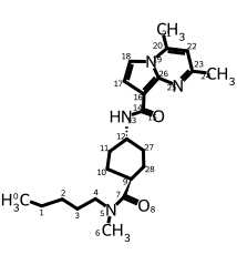 CCCCCN(C)C(=O)[C@H]1CC[C@H](NC(=O)c2ccn3c(C)cc(C)nc23)CC1